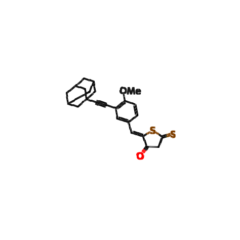 COc1ccc(/C=C2\SC(=S)CC2=O)cc1C#CC12CC3CC(CC(C3)C1)C2